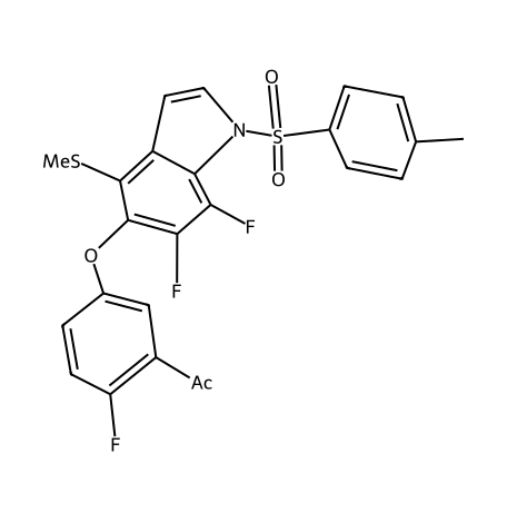 CSc1c(Oc2ccc(F)c(C(C)=O)c2)c(F)c(F)c2c1ccn2S(=O)(=O)c1ccc(C)cc1